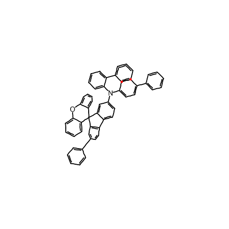 C1=C=C(c2ccccc2N(C2=CC=C(c3ccccc3)CC2)c2ccc3c(c2)C2(c4ccccc4Oc4ccccc42)c2cc(-c4ccccc4)ccc2-3)C=CC=1